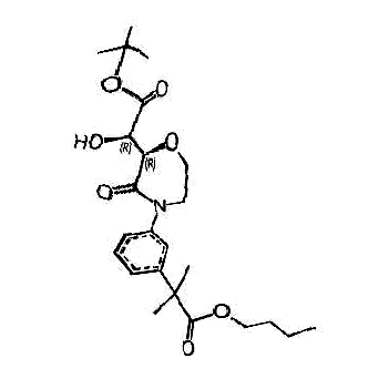 CCCCOC(=O)C(C)(C)c1cccc(N2CCO[C@H]([C@@H](O)C(=O)OC(C)(C)C)C2=O)c1